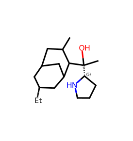 CCC1CC2CC(C)C(C(C)(O)[C@@H]3CCCN3)C(C1)C2